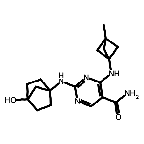 CC12CC(Nc3nc(NC45CCC(O)(CC4)C5)ncc3C(N)=O)(C1)C2